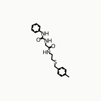 Cc1ccc(CSCCNC(=O)CNC(=O)Nc2ccccc2)cc1